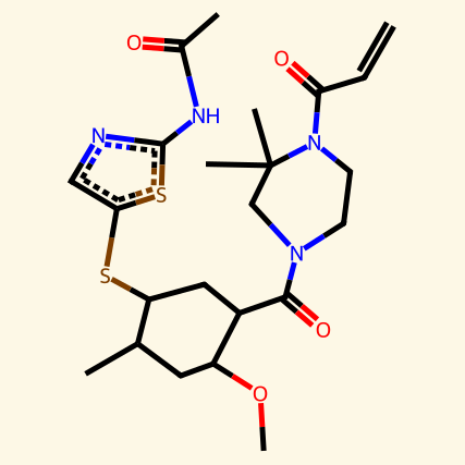 C=CC(=O)N1CCN(C(=O)C2CC(Sc3cnc(NC(C)=O)s3)C(C)CC2OC)CC1(C)C